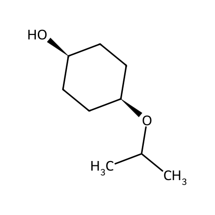 CC(C)O[C@H]1CC[C@@H](O)CC1